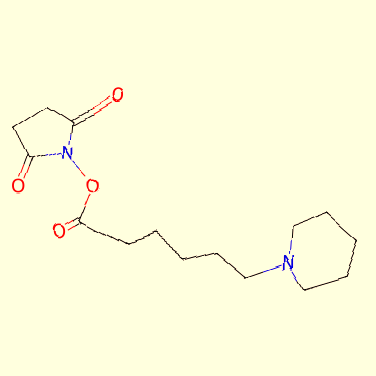 O=C(CCCCCN1CCCCC1)ON1C(=O)CCC1=O